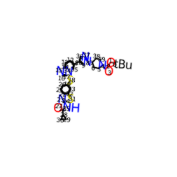 CC(C)(C)OC(=O)N1CCC(n2cc(-c3ccc4ncc(Sc5ccc6nc(NC(=O)C7CC7)sc6c5)n4c3)cn2)CC1